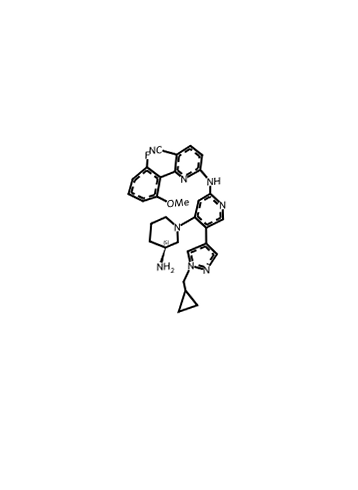 COc1cccc(F)c1-c1nc(Nc2cc(N3CCC[C@H](N)C3)c(-c3cnn(CC4CC4)c3)cn2)ccc1C#N